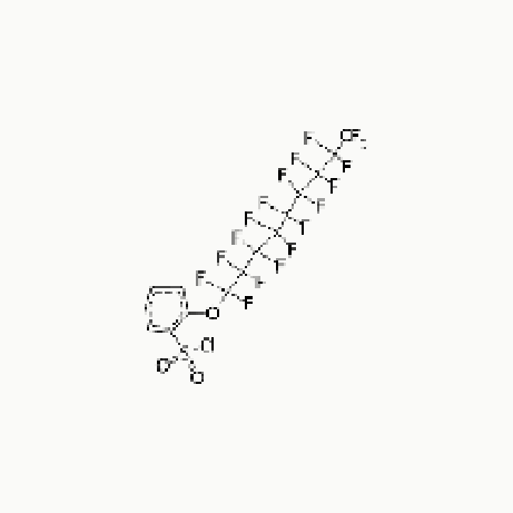 O=S(=O)(Cl)c1ccccc1OC(F)(F)C(F)(F)C(F)(F)C(F)(F)C(F)(F)C(F)(F)C(F)(F)C(F)(F)C(F)(F)F